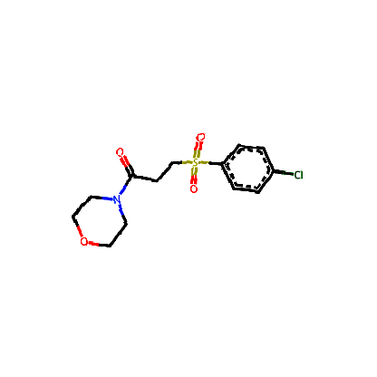 O=C(CCS(=O)(=O)c1ccc(Cl)cc1)N1CCOCC1